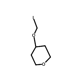 ICOC1CCOCC1